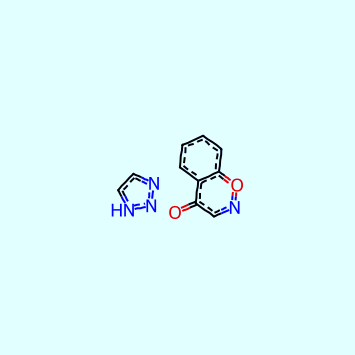 O=c1cnoc2ccccc12.c1c[nH]nn1